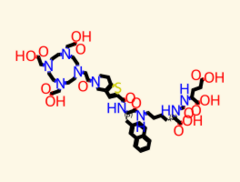 O=C(O)CCC(NC(=O)N[C@@H](CCCCNC(=O)[C@H](Cc1ccc2ccccc2c1)NC(=O)c1cc2c(s1)CCN(C(=O)CN1CCN(CC(=O)O)CCN(CC(=O)O)CCN(CC(=O)O)CC1)C2)C(=O)O)C(=O)O